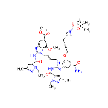 CCn1nc(C)cc1C(=O)Nc1nc2cc(C(=O)OC)cc(OC)c2n1C/C=C/Cn1c(NC(=O)c2cc(C)nn2CC)nc2cc(C(N)=O)cc(OCC#CCC3CN(C(=O)OC(C)(C)C)C3)c21